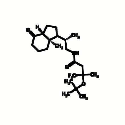 C[C@H](CNC(=O)C[C@](C)(O[Si](C)(C)C)C(F)(F)F)[C@H]1CC[C@H]2C(=O)CCC[C@]12C